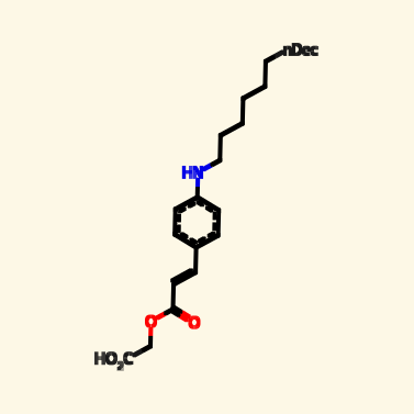 CCCCCCCCCCCCCCCCNc1ccc(/C=C/C(=O)OCC(=O)O)cc1